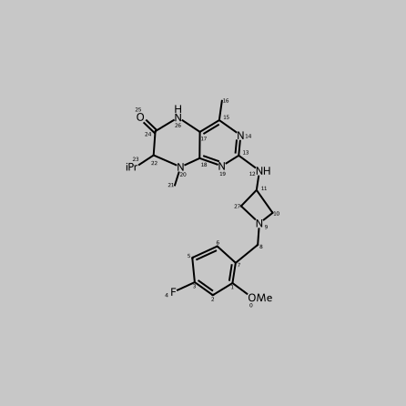 COc1cc(F)ccc1CN1CC(Nc2nc(C)c3c(n2)N(C)C(C(C)C)C(=O)N3)C1